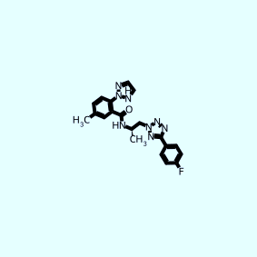 Cc1ccc(N2N=CCN2)c(C(=O)N[C@@H](C)Cn2nnc(-c3ccc(F)cc3)n2)c1